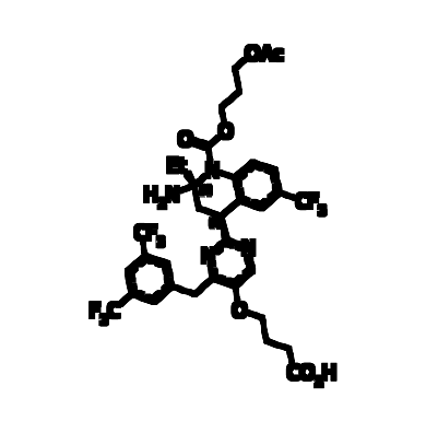 CC[C@]1(N)C[C@H](c2ncc(OCCCC(=O)O)c(Cc3cc(C(F)(F)F)cc(C(F)(F)F)c3)n2)c2cc(C(F)(F)F)ccc2N1C(=O)OCCCOC(C)=O